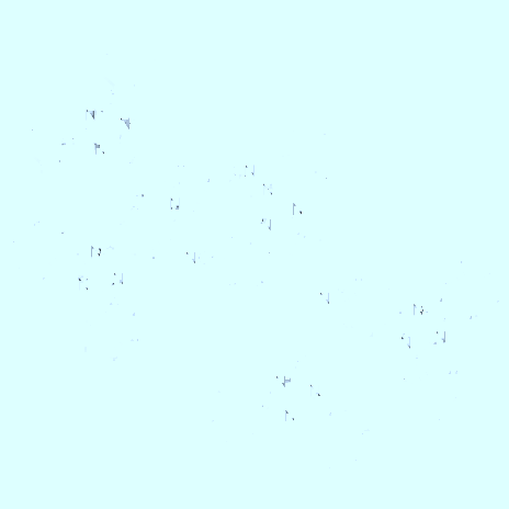 N#Cc1ccc(-c2cc(-n3c4ccc(-c5nc(-c6ccccc6)nc(-c6ccccc6)n5)cc4c4cc(-c5nc(-c6ccccc6)nc(-c6ccccc6)n5)ccc43)ccc2-c2nc(-c3ccccc3)nc(-c3ccc(-n4c5ccc(-c6nc(-c7ccccc7)nc(-c7ccccc7)n6)cc5c5cc(-c6nc(-c7ccccc7)nc(-c7ccccc7)n6)ccc54)cc3C#N)n2)cc1